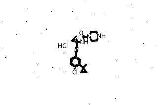 CC1(c2cc(C#CC3(NC(=O)N4CCNCC4)CC3)ccc2Cl)CC1.Cl